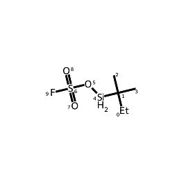 CCC(C)(C)[SiH2]OS(=O)(=O)F